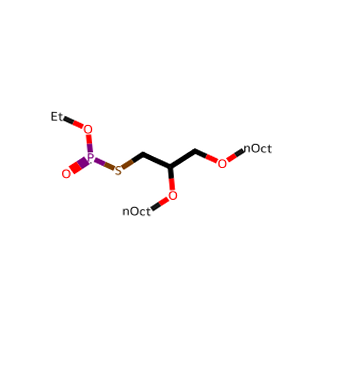 CCCCCCCCOCC(CS[P](=O)OCC)OCCCCCCCC